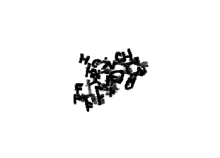 CCN(C(=O)NC(CCC(F)(F)F)C(F)(F)F)C(C)c1ccnc(Cl)c1